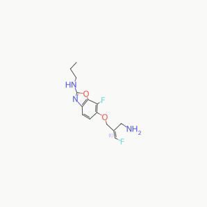 CCCNc1nc2ccc(OC/C(=C/F)CN)c(F)c2o1